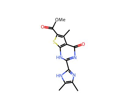 COC(=O)c1sc2[nH]c(-c3nc(C)c(C)[nH]3)nc(=O)c2c1C